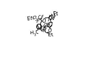 CCOC(=O)C(F)(F)C(OCc1cn(CC)nn1)c1ccc(C)c(CN2C[C@@H](CC)Oc3ccccc3S2(O)O)c1